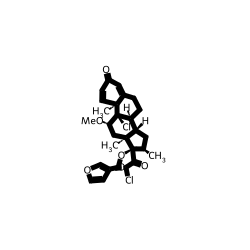 CO[C@H]1C[C@@]2(C)[C@@H](C[C@@H](C)[C@]2(OC(=O)c2ccoc2)C(=O)CCl)[C@@H]2CCC3=CC(=O)C=C[C@]3(C)[C@@]12Cl